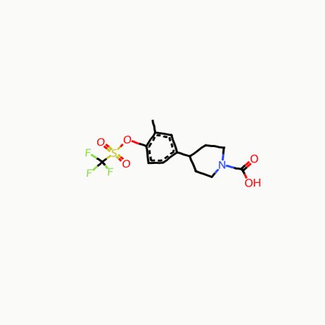 Cc1cc(C2CCN(C(=O)O)CC2)ccc1OS(=O)(=O)C(F)(F)F